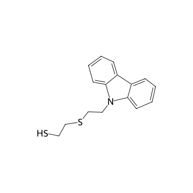 SCCSCCn1c2ccccc2c2ccccc21